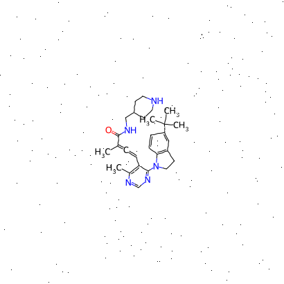 CC(=C=Cc1c(C)ncnc1N1CCc2cc(C(C)(C)C)ccc21)C(=O)NCC1CCNCC1